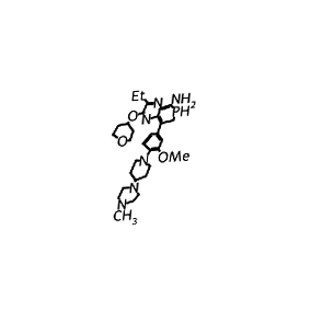 CCc1nc2c(nc1OC1CCOCC1)=C(c1ccc(N3CCC(N4CCN(C)CC4)CC3)c(OC)c1)CPC=2N